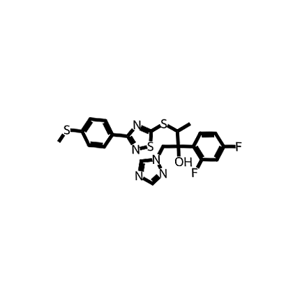 CSc1ccc(-c2nsc(SC(C)C(O)(Cn3cncn3)c3ccc(F)cc3F)n2)cc1